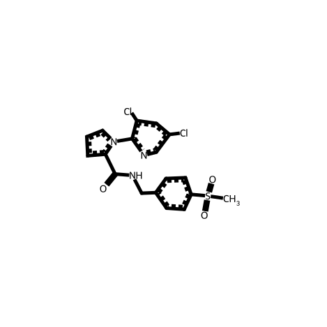 CS(=O)(=O)c1ccc(CNC(=O)c2cccn2-c2ncc(Cl)cc2Cl)cc1